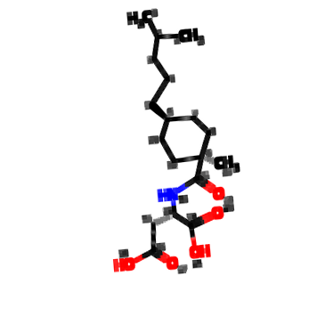 CC(C)CCC[C@H]1CC[C@@](C)(C(=O)N[C@@H](CC(=O)O)C(=O)O)CC1